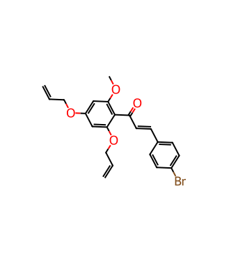 C=CCOc1cc(OC)c(C(=O)C=Cc2ccc(Br)cc2)c(OCC=C)c1